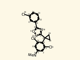 CNc1cc(Cl)c(C2(c3noc(-c4cccc(Cl)c4)n3)CC2)c(Cl)c1